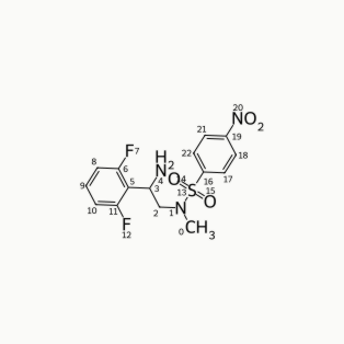 CN(CC(N)c1c(F)cccc1F)S(=O)(=O)c1ccc([N+](=O)[O-])cc1